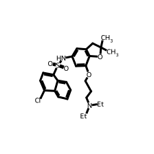 CCN(CC)CCCOc1cc(NS(=O)(=O)c2ccc(Cl)c3ccccc23)cc2c1OC(C)(C)C2